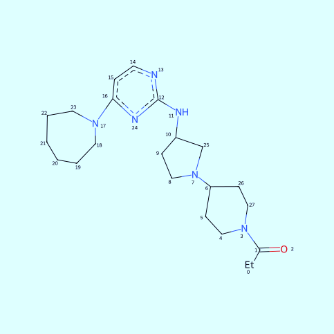 CCC(=O)N1CCC(N2CCC(Nc3nccc(N4CCCCCC4)n3)C2)CC1